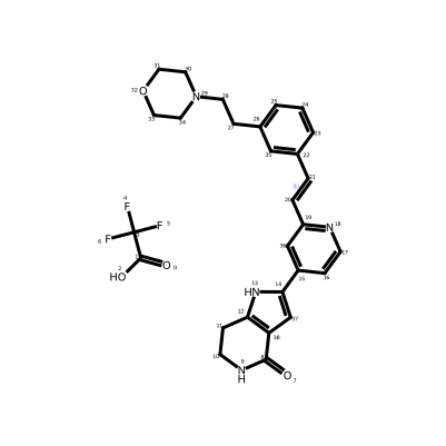 O=C(O)C(F)(F)F.O=C1NCCc2[nH]c(-c3ccnc(/C=C/c4cccc(CCN5CCOCC5)c4)c3)cc21